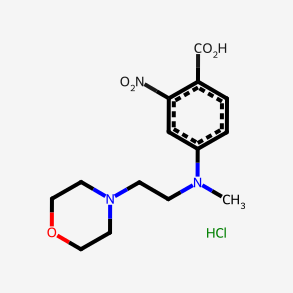 CN(CCN1CCOCC1)c1ccc(C(=O)O)c([N+](=O)[O-])c1.Cl